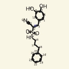 N#C/C(=C\c1ccc(O)c(O)c1)S(=O)(=O)NCCCc1ccccc1